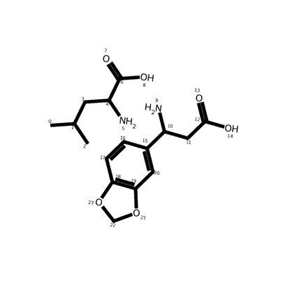 CC(C)CC(N)C(=O)O.NC(CC(=O)O)c1ccc2c(c1)OCO2